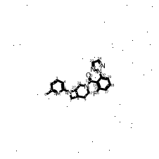 Cc1cccc(N2CC3CCN(C(=O)c4c(F)cccc4-n4nccn4)CC32)n1